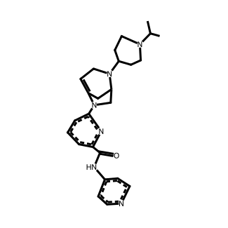 CC(C)N1CCC(N2CC=C3CC2CN3c2cccc(C(=O)Nc3ccncc3)n2)CC1